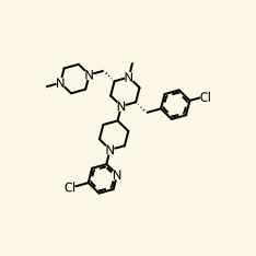 CN1CCN(C[C@H]2CN(C3CCN(c4cc(Cl)ccn4)CC3)[C@@H](Cc3ccc(Cl)cc3)CN2C)CC1